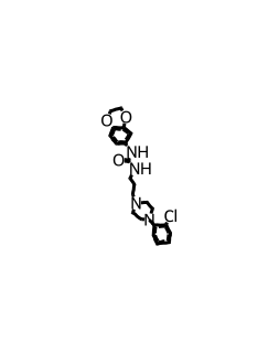 O=C(NCCCN1CCN(c2ccccc2Cl)CC1)Nc1ccc2c(c1)OCCO2